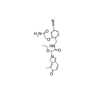 CCOC(C(=O)NCc1ccc(C#N)cc1OCC(N)=O)N1C=C2C=CC(=O)C(C)=C2C1